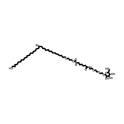 CCC(CCCCCCCCCCCCCCCCCCO)CCCCCCCCCCCCCCCOCCCOC(=O)NCCCCCC(=O)NCCOCCOCCO[C@H]1OC(CO)[C@H](O)C(O)C1O